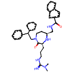 CN(C)C(=N)NCCC[C@@H]1N[C@H](CNC(=O)c2ccc3ccccc3c2)CCN(CC(c2ccccc2)c2ccccc2)C1=O